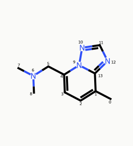 Cc1ccc(CN(C)C)n2ncnc12